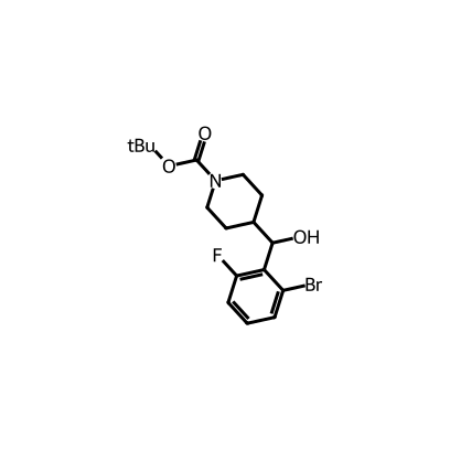 CC(C)(C)OC(=O)N1CCC(C(O)c2c(F)cccc2Br)CC1